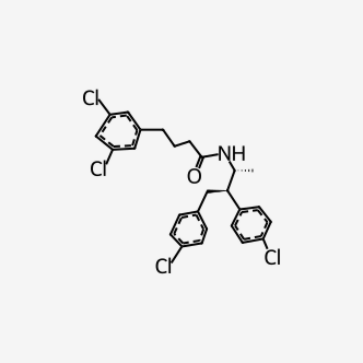 C[C@@H](NC(=O)CCCc1cc(Cl)cc(Cl)c1)[C@H](Cc1ccc(Cl)cc1)c1ccc(Cl)cc1